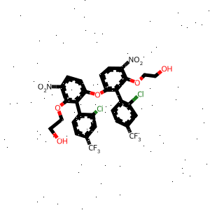 O=[N+]([O-])c1ccc(Oc2ccc([N+](=O)[O-])c(OCCO)c2-c2ccc(C(F)(F)F)cc2Cl)c(-c2ccc(C(F)(F)F)cc2Cl)c1OCCO